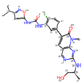 CC(C)c1cc(NC(=O)Nc2cc(-c3cc4cnc(N[C@@H](C)CO)nc4n(C)c3=O)ccc2F)on1